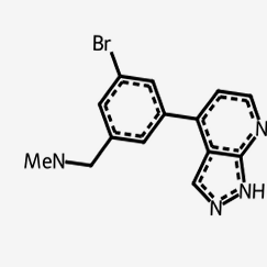 CNCc1cc(Br)cc(-c2ccnc3[nH]ncc23)c1